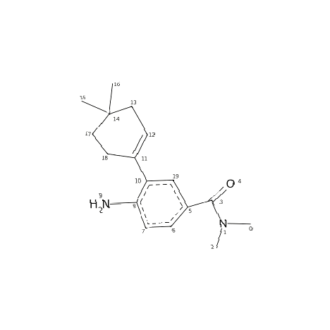 CN(C)C(=O)c1ccc(N)c(C2=CCC(C)(C)CC2)c1